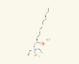 CCCCCCCCCC(O)C[N+](CC)(CC)OF.[Cl-]